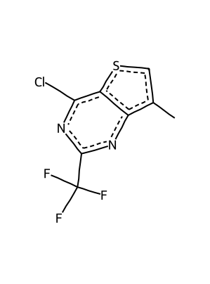 Cc1csc2c(Cl)nc(C(F)(F)F)nc12